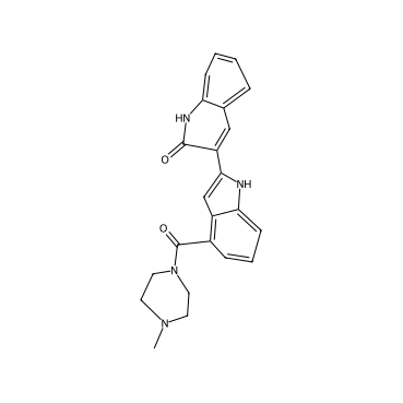 CN1CCN(C(=O)c2cccc3[nH]c(-c4cc5ccccc5[nH]c4=O)cc23)CC1